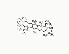 Cc1c(Cl)c(C=C2C=C(C(C)(C)C)C(O)C(C(C)(C)C)=C2)c(C)c(Cl)c1C=C1C=C(C(C)(C)C)C(O)C(C(C)(C)C)=C1